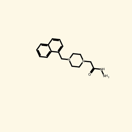 NNC(=O)CN1CCN(Cc2cccc3ccccc23)CC1